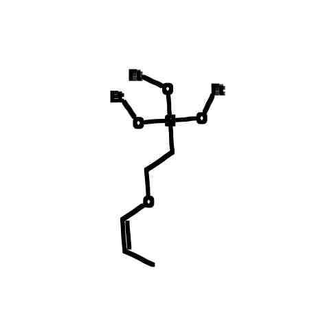 C/C=C\OCC[Si](OCC)(OCC)OCC